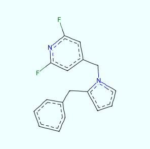 Fc1cc(Cn2cccc2Cc2ccccc2)cc(F)n1